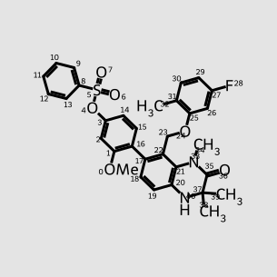 COc1cc(OS(=O)(=O)c2ccccc2)ccc1-c1ccc2c(c1COc1cc(F)ccc1C)N(C)C(=O)C(C)(C)N2